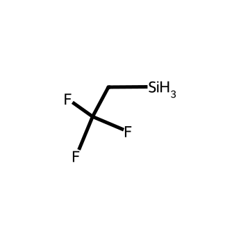 FC(F)(F)C[SiH3]